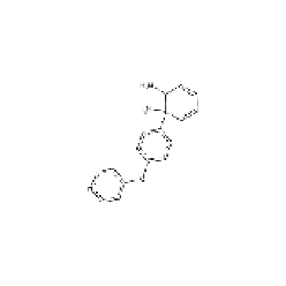 NC1C=CC=CC1(N)c1ccc(Oc2ccncc2)cc1